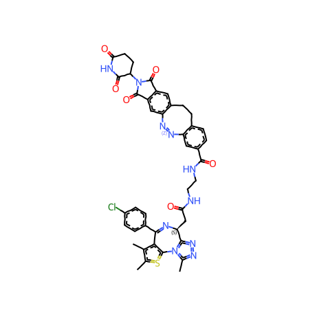 Cc1sc2c(c1C)C(c1ccc(Cl)cc1)=N[C@@H](CC(=O)NCCNC(=O)c1ccc3c(c1)/N=N\c1cc4c(cc1CC3)C(=O)N(C1CCC(=O)NC1=O)C4=O)c1nnc(C)n1-2